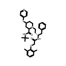 Cc1cccc(C)c1OCC(=O)N[C@H](CCN1CCC(Sc2ccncc2)CC1C(=O)NC(C)(C)C)Cc1ccccc1